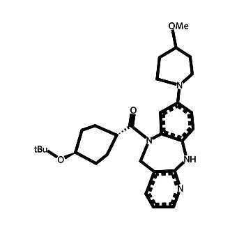 COC1CCN(c2ccc3c(c2)N(C(=O)[C@H]2CC[C@H](OC(C)(C)C)CC2)Cc2cccnc2N3)CC1